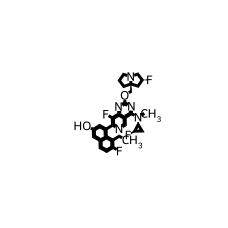 CCc1c(F)ccc2cc(O)cc(-c3ncc4c(N(C)[C@@H]5C[C@H]5F)nc(OC[C@@]56CCCN5C[C@H](F)C6)nc4c3F)c12